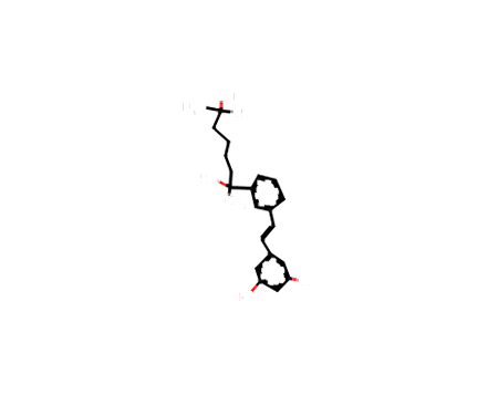 CC(C)(O)CCCCC(C)(O)c1cccc(/C=C/c2cc(O)cc(O)c2)c1